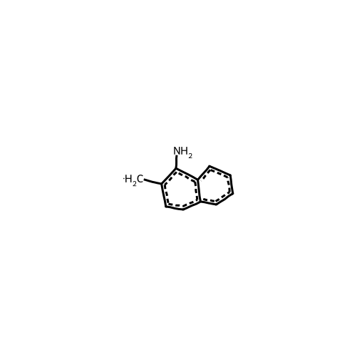 [CH2]c1ccc2ccccc2c1N